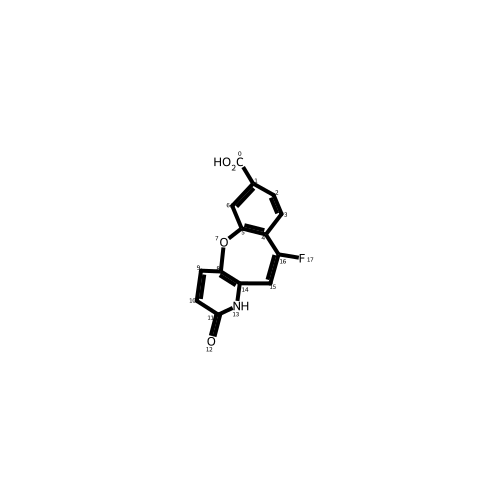 O=C(O)c1ccc2c(c1)Oc1ccc(=O)[nH]c1C=C2F